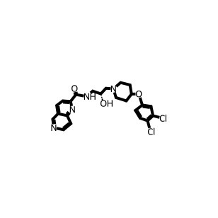 O=C(NC[C@@H](O)CN1CCC(Oc2ccc(Cl)c(Cl)c2)CC1)c1ccc2cnccc2n1